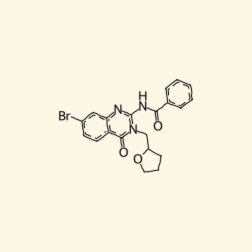 O=C(Nc1nc2cc(Br)ccc2c(=O)n1CC1CCCO1)c1ccccc1